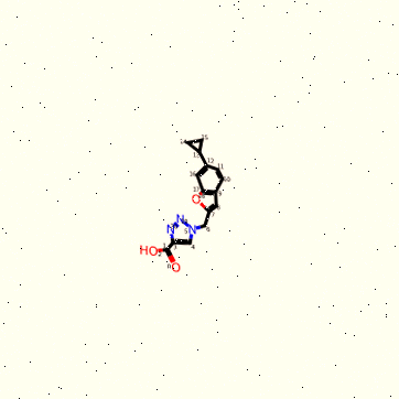 O=C(O)c1cn(Cc2cc3ccc(C4CC4)cc3o2)nn1